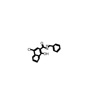 O=C(NCc1ccccc1)c1cc(Cl)c2ccccc2c1O